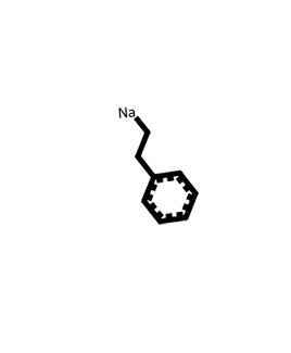 [Na][CH2]Cc1ccccc1